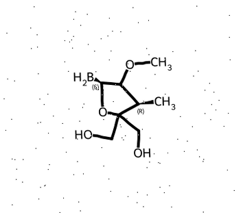 B[C@@H]1OC(CO)(CO)[C@H](C)C1OC